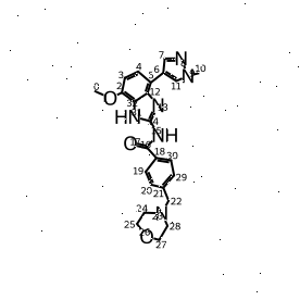 COc1ccc(-c2cnn(C)c2)c2nc(NC(=O)c3ccc(CN4CCOCC4)cc3)[nH]c12